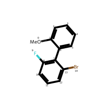 COc1ccccc1-c1c(F)cccc1Br